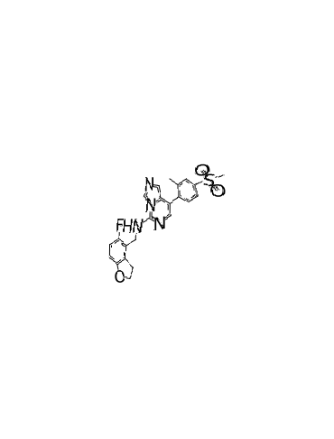 Cc1cc(S(C)(=O)=O)ccc1-c1cnc(NCc2c(F)ccc3c2CCO3)n2cncc12